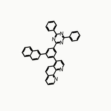 c1ccc(-c2nc(-c3ccccc3)nc(-c3cc(-c4ccc5ccccc5c4)cc(-c4ccnc5c4ccc4cccnc45)c3)n2)cc1